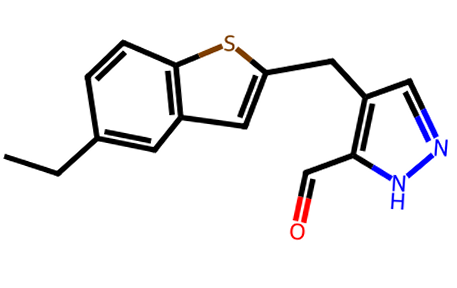 CCc1ccc2sc(Cc3cn[nH]c3C=O)cc2c1